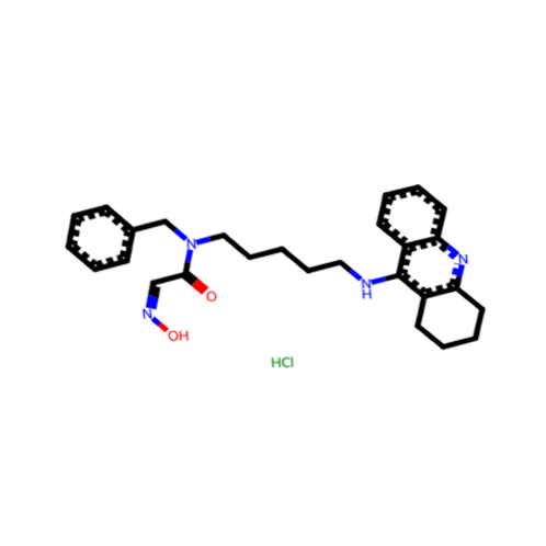 Cl.O=C(/C=N\O)N(CCCCCNc1c2c(nc3ccccc13)CCCC2)Cc1ccccc1